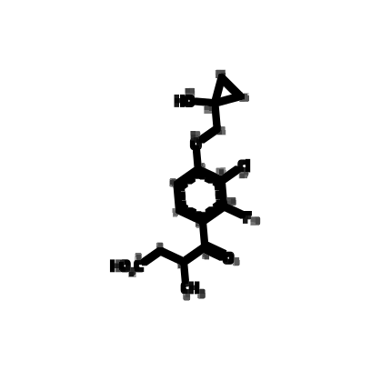 CC(CC(=O)O)C(=O)c1ccc(OCC2(O)CC2)c(Cl)c1F